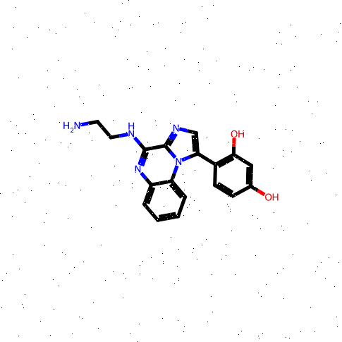 NCCNc1nc2ccccc2n2c(-c3ccc(O)cc3O)cnc12